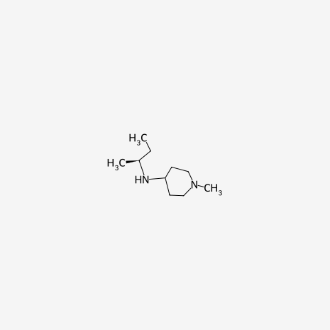 CC[C@H](C)NC1CCN(C)CC1